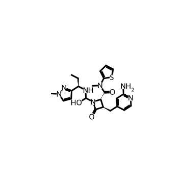 CC[C@@H](NC(O)N1C(=O)[C@H](Cc2ccnc(N)c2)[C@H]1C(=O)N(C)c1cccs1)c1ccn(C)n1